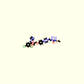 CCSNC(=O)NCCN1CCN(c2ccc(OCC3COC(Cn4ccnc4)(c4ccc(Cl)cc4Cl)O3)cc2)CC1